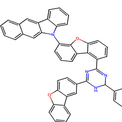 c1ccc(C2N=C(c3cccc4oc5c(-n6c7ccccc7c7cc8ccccc8cc76)cccc5c34)N=C(c3ccc4oc5ccccc5c4c3)N2)cc1